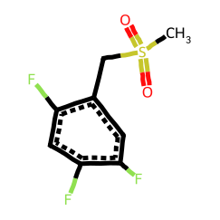 CS(=O)(=O)Cc1cc(F)c(F)cc1F